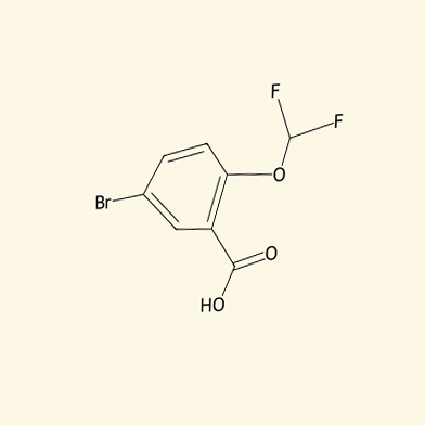 O=C(O)c1cc(Br)ccc1OC(F)F